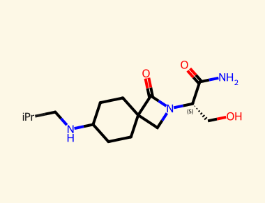 CC(C)CNC1CCC2(CC1)CN([C@@H](CO)C(N)=O)C2=O